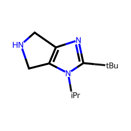 CC(C)n1c(C(C)(C)C)nc2c1CNC2